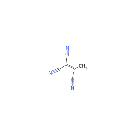 CC(C#N)=C(C#N)C#N